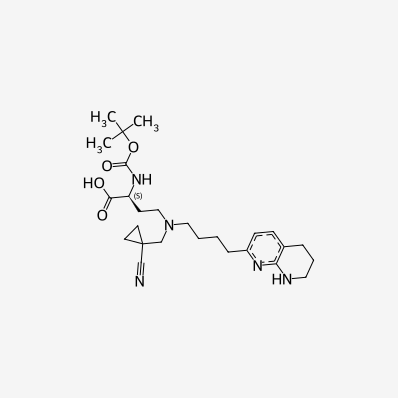 CC(C)(C)OC(=O)N[C@@H](CCN(CCCCc1ccc2c(n1)NCCC2)CC1(C#N)CC1)C(=O)O